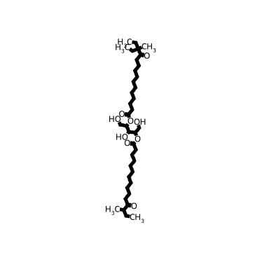 CCC(C)C(=O)CCCCCCCCCCC(=O)OC(CO)C(O)C(CO)OC(=O)CCCCCCCCCCC(=O)C(C)(CC)CC